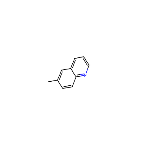 Cc1ccc2n[c]ccc2c1